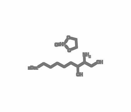 CCCCCCCCCCCCCCCC(O)C(N)CO.O=[PH]1OCCO1